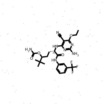 CCOc1nc(N)nc(N[C@@H](CCC(OC(N)=O)C(C)(C)C)C(=O)Nc2cccc(C(F)(F)F)c2)c1C#N